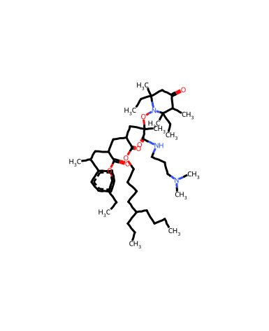 CCCCOC(=O)C(CC(CC(C)(ON1C(C)(CC)CC(=O)C(C)C1(C)CC)C(=O)NCCCN(C)C)C(=O)OCCCCC(CCC)CCCC)CC(C)c1ccccc1